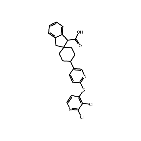 O=C(O)C1c2ccccc2CC12CCC(c1ccc(Sc3ccnc(Cl)c3Cl)nc1)CC2